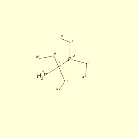 CCP(CC)C(P)(CC)CC